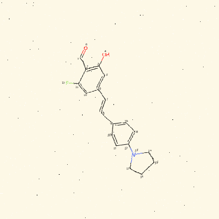 O=Cc1c(O)cc(C=Cc2ccc(N3CCCC3)cc2)cc1F